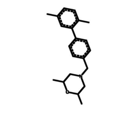 Cc1ccc(C)c(-c2ccc(CN3CC(C)OC(C)C3)cc2)c1